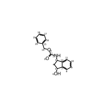 O=C(N[C@@H]1C[C@H](O)c2ccccc21)OCc1ccccc1